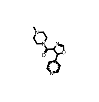 CN1CCN(C(=O)C2N=COC2c2ccncc2)CC1